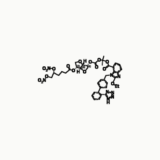 CCOc1nc2cccc(C(=O)OC(C)(C)OC(=O)O[C@@H]3CO[C@@H]4[C@@H]3OC[C@H]4OC(=O)CCCC(CO[N+](=O)[O-])O[N+](=O)[O-])c2n1Cc1ccc(-c2ccccc2-c2nnn[nH]2)cc1